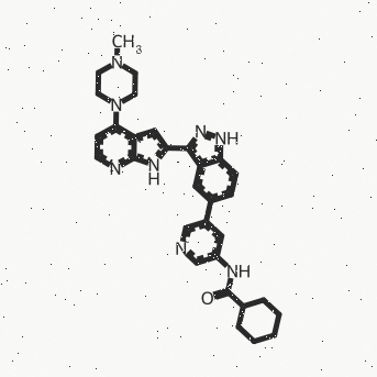 CN1CCN(c2ccnc3[nH]c(-c4n[nH]c5ccc(-c6cncc(NC(=O)C7CCCCC7)c6)cc45)cc23)CC1